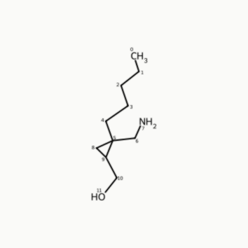 CCCCCC1(CN)CC1CO